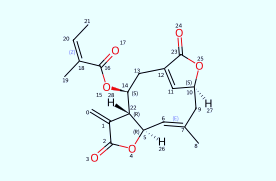 C=C1C(=O)O[C@@H]2/C=C(\C)C[C@H]3C=C(C[C@H](OC(=O)/C(C)=C\C)[C@@H]12)C(=O)O3